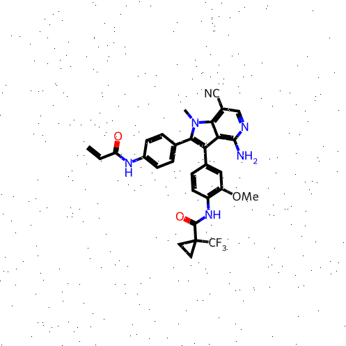 C=CC(=O)Nc1ccc(-c2c(-c3ccc(NC(=O)C4(C(F)(F)F)CC4)c(OC)c3)c3c(N)ncc(C#N)c3n2C)cc1